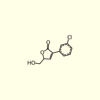 O=C1OC(CO)C=C1c1cccc(Cl)c1